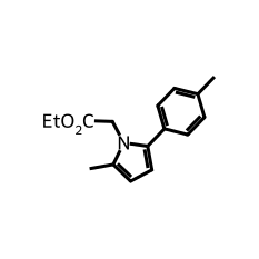 CCOC(=O)Cn1c(C)ccc1-c1ccc(C)cc1